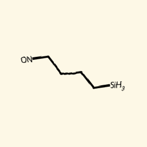 O=NCCCC[SiH3]